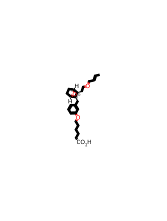 CC=CCOCC[C@H]1[C@@H](Cc2cccc(OCCCCCC(=O)O)c2)[C@H]2CC[C@@H]1O2